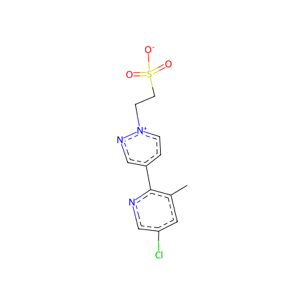 Cc1cc(Cl)cnc1-c1cc[n+](CCS(=O)(=O)[O-])nc1